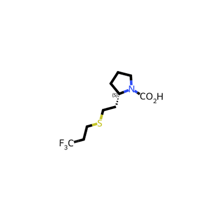 O=C(O)N1CCC[C@H]1CCSCCC(F)(F)F